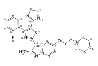 Cc1nn2ccc(OCCN3CCOCC3)cc2c1-c1nc(-c2ccccc2F)c(C2=NCC=N2)s1